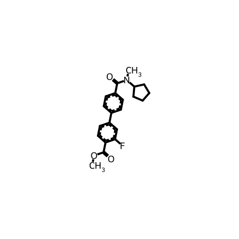 COC(=O)c1ccc(-c2ccc(C(=O)N(C)C3CCCC3)cc2)cc1F